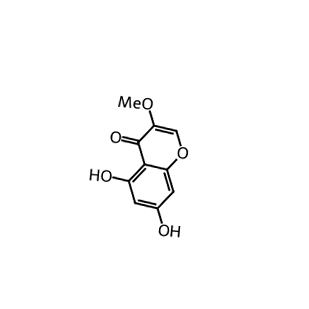 COc1coc2cc(O)cc(O)c2c1=O